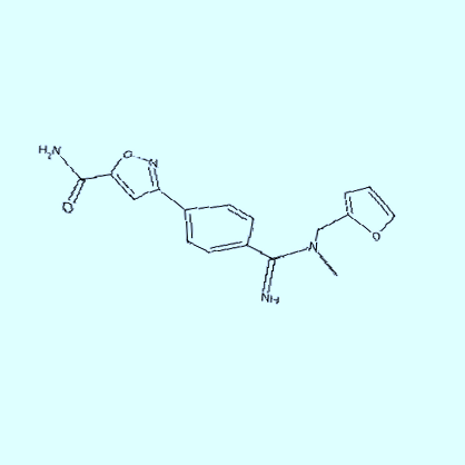 CN(Cc1ccco1)C(=N)c1ccc(-c2cc(C(N)=O)on2)cc1